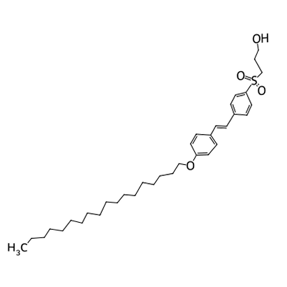 CCCCCCCCCCCCCCCCCCOc1ccc(C=Cc2ccc(S(=O)(=O)CCCO)cc2)cc1